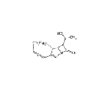 CC(O)C1C(=O)N2C=C(C=C=CC(=O)O)C(C)C12